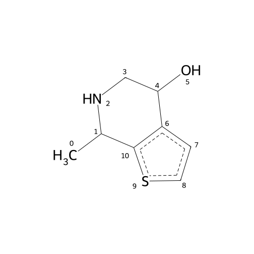 CC1NCC(O)c2ccsc21